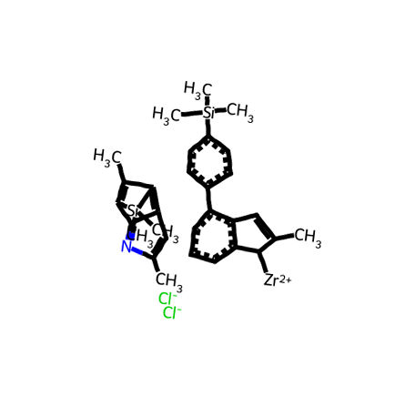 CC1=CC2=C3C(C)=C(C2=N1)[Si]3(C)C.CC1=Cc2c(-c3ccc([Si](C)(C)C)cc3)cccc2[CH]1[Zr+2].[Cl-].[Cl-]